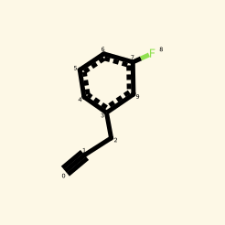 C#CCc1cccc(F)c1